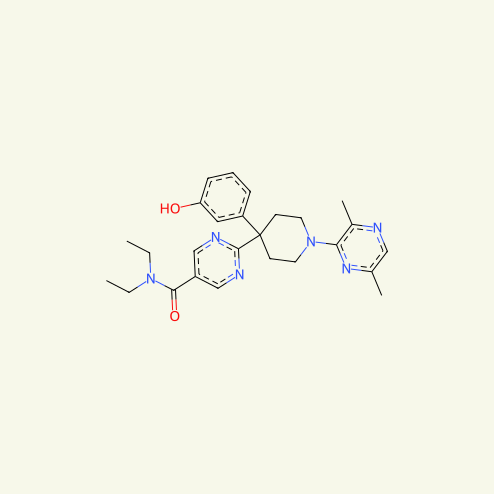 CCN(CC)C(=O)c1cnc(C2(c3cccc(O)c3)CCN(c3nc(C)cnc3C)CC2)nc1